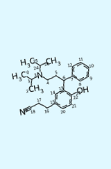 CC(C)N(CCC(c1ccccc1)c1cc(CCC#N)ccc1O)C(C)C